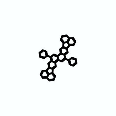 c1ccc(-c2cc3c4cc5c(cc4c(-c4ccccc4)cc3c3cc4c(cc23)-c2cccc3cccc-4c23)-c2cccc3cccc-5c23)cc1